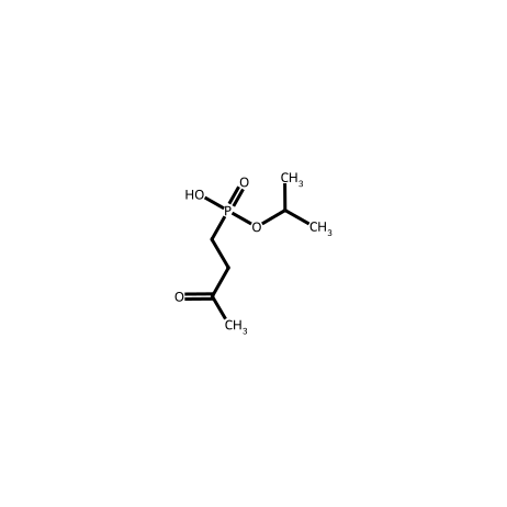 CC(=O)CCP(=O)(O)OC(C)C